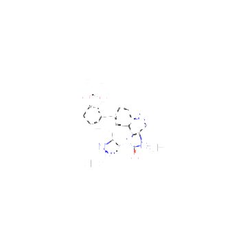 Cc1nn(C)cc1-n1c(=O)n(C)c2cnc3ccc(-c4cccc5c4OC(F)(F)O5)cc3c21